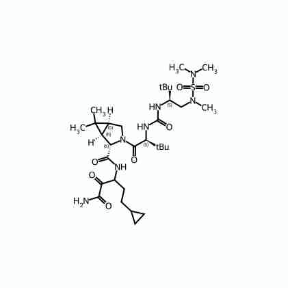 CN(C)S(=O)(=O)N(C)C[C@@H](NC(=O)N[C@H](C(=O)N1C[C@H]2[C@@H]([C@H]1C(=O)NC(CCC1CC1)C(=O)C(N)=O)C2(C)C)C(C)(C)C)C(C)(C)C